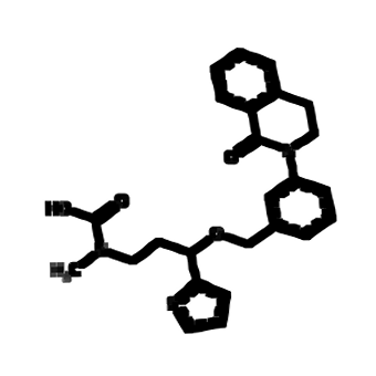 CN(CCC(OCc1cccc(N2CCc3ccccc3C2=O)c1)c1cccs1)C(=O)O